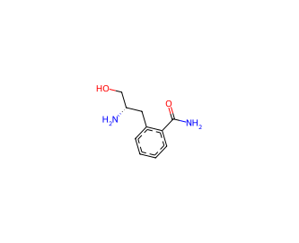 NC(=O)c1ccccc1C[C@H](N)CO